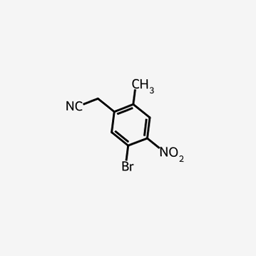 Cc1cc([N+](=O)[O-])c(Br)cc1CC#N